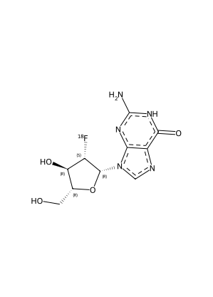 Nc1nc2c(ncn2[C@@H]2O[C@H](CO)[C@@H](O)[C@@H]2[18F])c(=O)[nH]1